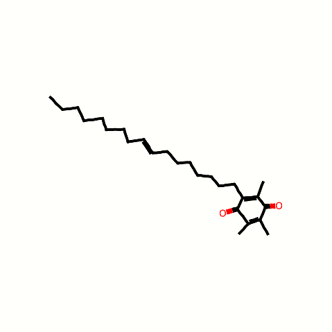 CCCCCCCC/C=C/CCCCCCCC1=C(C)C(=O)C(C)=C(C)C1=O